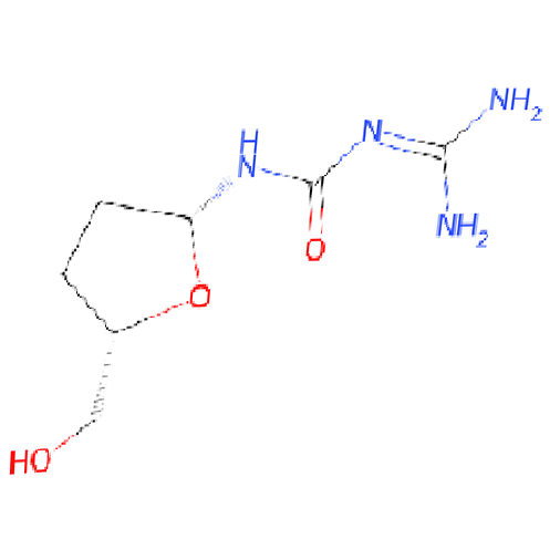 NC(N)=NC(=O)N[C@H]1CC[C@@H](CO)O1